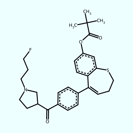 CC(C)(C)C(=O)Oc1ccc2c(c1)SCCC=C2c1ccc(C(=O)C2CCN(CCCF)C2)cc1